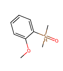 COc1ccccc1[SH](C)(C)=O